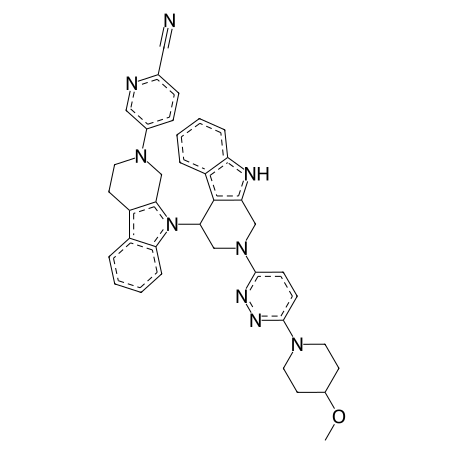 COC1CCN(c2ccc(N3Cc4[nH]c5ccccc5c4C(n4c5c(c6ccccc64)CCN(c4ccc(C#N)nc4)C5)C3)nn2)CC1